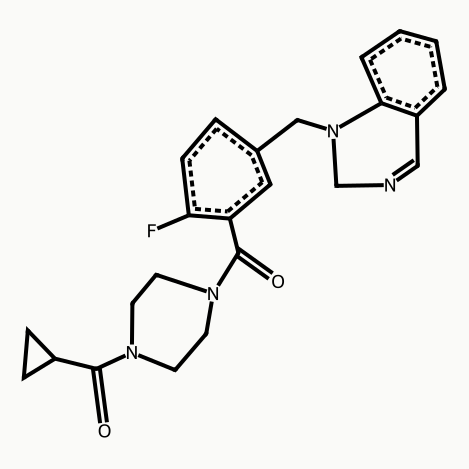 O=C(c1cc(CN2CN=Cc3ccccc32)ccc1F)N1CCN(C(=O)C2CC2)CC1